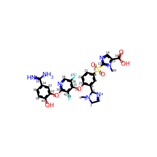 CN1CC=NC1c1cc(S(=O)(=O)c2ncc(C(=O)O)n2C)ccc1Oc1c(F)cnc(Oc2cc(C(=N)N)ccc2O)c1F